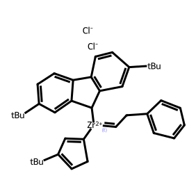 CC(C)(C)C1=CC[C](/[Zr+2](=[CH]/Cc2ccccc2)[CH]2c3cc(C(C)(C)C)ccc3-c3ccc(C(C)(C)C)cc32)=C1.[Cl-].[Cl-]